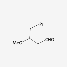 COC(CC=O)CC(C)C